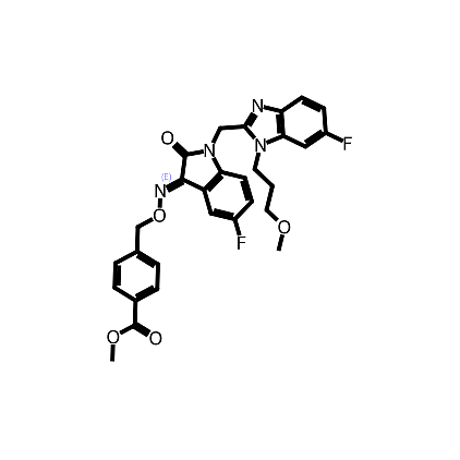 COCCCn1c(CN2C(=O)/C(=N/OCc3ccc(C(=O)OC)cc3)c3cc(F)ccc32)nc2ccc(F)cc21